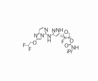 CC(C)NC(=O)O[C@H]1CO[C@@H](c2cc(Nc3nccc4nc(OCC(F)F)cn34)n[nH]2)[C@H]1F